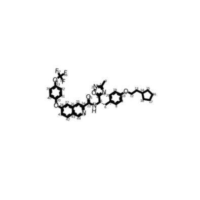 Cc1noc([C@H](Cc2ccc(OCCC3CCCC3)cc2)NC(=O)c2cc3cc(Oc4ccc(OC(F)(F)F)cc4)ccc3cn2)n1